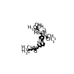 CC(C)CCC(=O)NCc1cnc2c(ccn2-c2cc(NC(C)C)c(C(=O)NC[C@@H](F)C(C)(C)O)cn2)c1